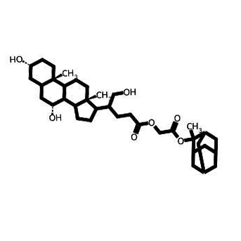 CC1(OC(=O)COC(=O)CCC(CO)C2CCC3C4C(CC[C@]23C)[C@@]2(C)CC[C@@H](O)CC2C[C@H]4O)C2CC3CC(C2)CC1C3